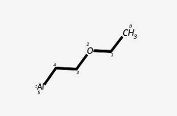 CCOC[CH2][Al]